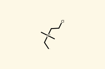 [CH2]C[N+](C)(C)CCCl